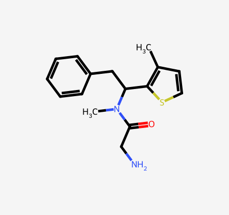 Cc1ccsc1C(Cc1ccccc1)N(C)C(=O)CN